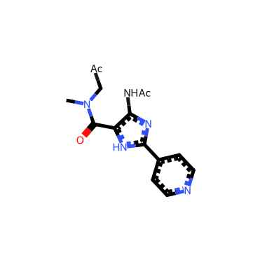 CC(=O)CN(C)C(=O)c1[nH]c(-c2ccncc2)nc1NC(C)=O